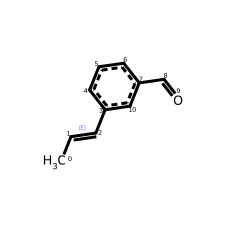 C/C=C/c1cccc(C=O)c1